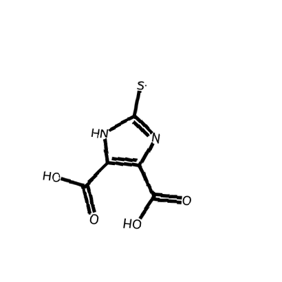 O=C(O)c1nc([S])[nH]c1C(=O)O